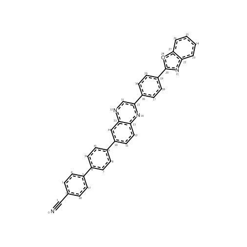 N#Cc1ccc(-c2ccc(-c3ccc4nc(-c5ccc(-c6nc7ccccc7o6)cc5)cnc4c3)cc2)cc1